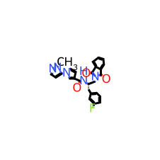 Cn1nccc1-n1ccc(C(=O)N[C@@H](Cc2cccc(F)c2)CN2C(=O)c3ccccc3C2=O)c1